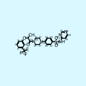 CC(Oc1cccc(C(F)(F)F)c1)C(=O)N1CCN(c2ccc(S(=O)(=O)Nc3ccncn3)cc2)CC1